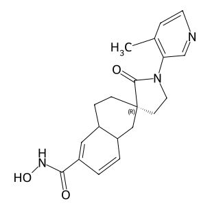 Cc1ccncc1N1CC[C@]2(CCC3C=C(C(=O)NO)C=CC3C2)C1=O